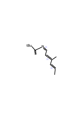 C=C(\N=C/C=C(C)/C=C/C)C(C)(C)C